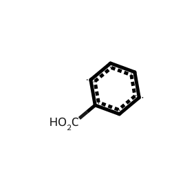 O=C(O)c1[c]cc[c]c1